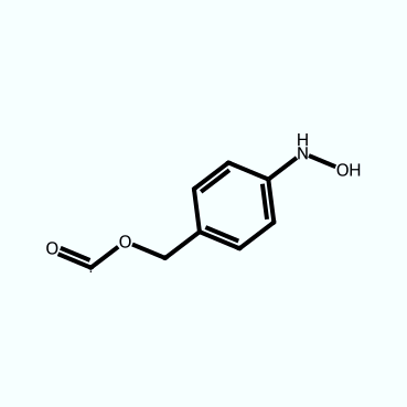 O=[C]OCc1ccc(NO)cc1